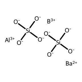 [Al+3].[B+3].[Ba+2].[O-][Si]([O-])([O-])[O-].[O-][Si]([O-])([O-])[O-]